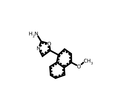 COc1ccc(-c2cnc(N)o2)c2ccccc12